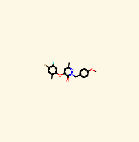 COc1ccc(Cn2nc(C)cc(Oc3cc(F)c(Br)cc3C)c2=O)cc1